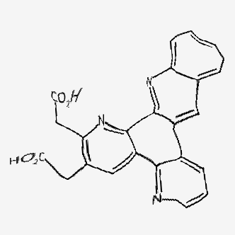 O=C(O)Cc1cc2c3ncccc3c3cc4ccccc4nc3c2nc1CC(=O)O